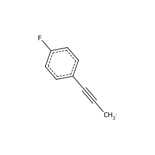 [CH2]C#Cc1ccc(F)cc1